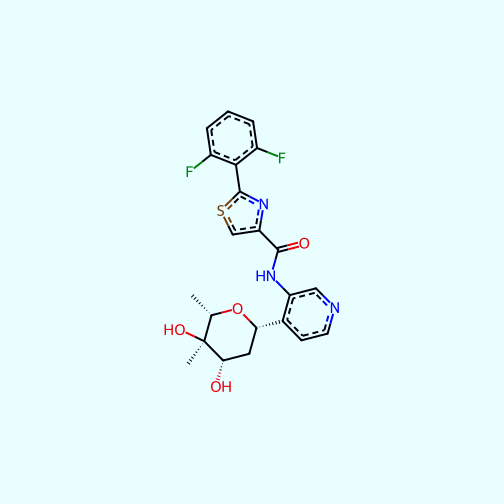 C[C@@H]1O[C@H](c2ccncc2NC(=O)c2csc(-c3c(F)cccc3F)n2)C[C@H](O)[C@@]1(C)O